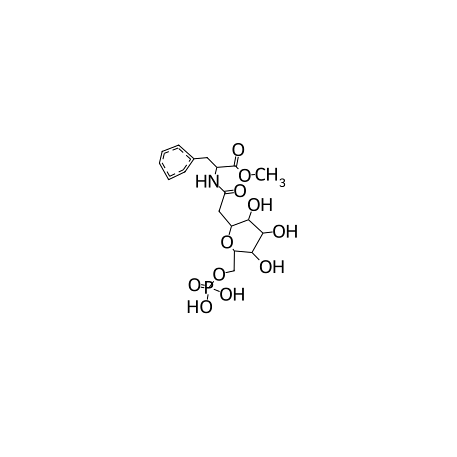 COC(=O)C(Cc1ccccc1)NC(=O)CC1OC(COP(=O)(O)O)C(O)C(O)C1O